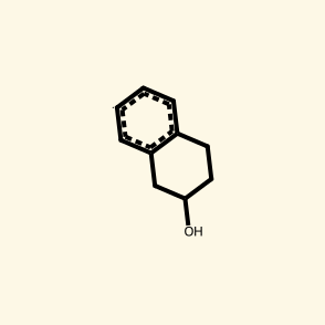 OC1CCc2cc[c]cc2C1